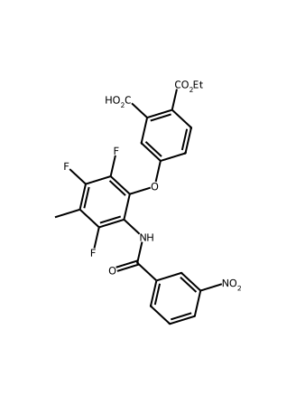 CCOC(=O)c1ccc(Oc2c(F)c(F)c(C)c(F)c2NC(=O)c2cccc([N+](=O)[O-])c2)cc1C(=O)O